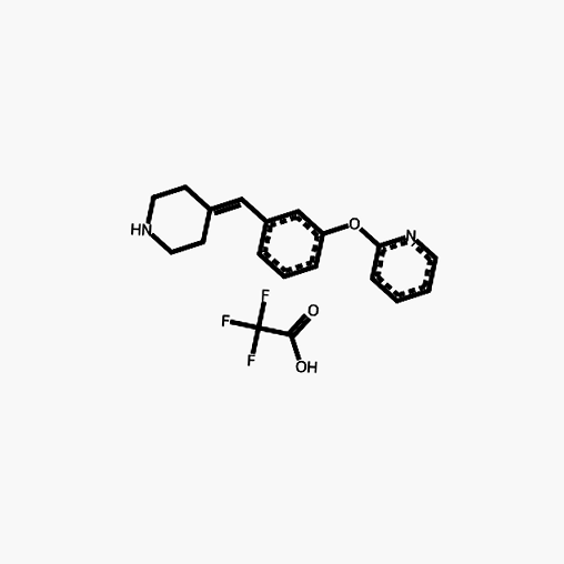 C(=C1CCNCC1)c1cccc(Oc2ccccn2)c1.O=C(O)C(F)(F)F